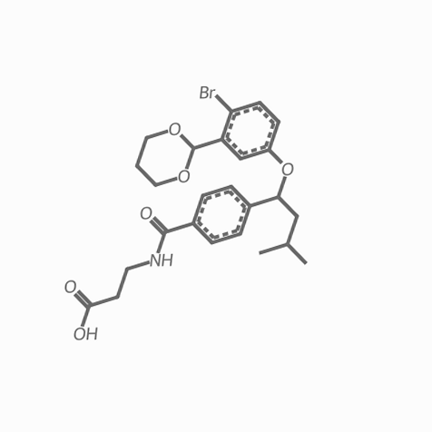 CC(C)CC(Oc1ccc(Br)c(C2OCCCO2)c1)c1ccc(C(=O)NCCC(=O)O)cc1